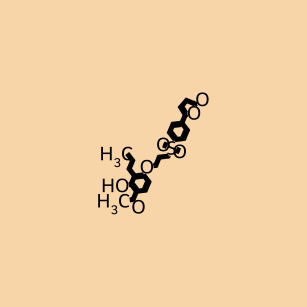 CCCc1c(OCCCS(=O)(=O)c2ccc(C3=CCC(=O)O3)cc2)ccc(C(C)=O)c1O